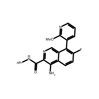 CCCNC(=O)c1ncc2c(-c3cccnc3OC)c(F)ccc2c1N